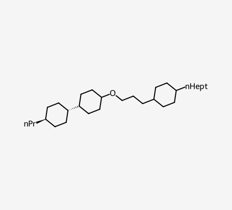 CCCCCCCC1CCC(CCCOC2CCC([C@H]3CC[C@H](CCC)CC3)CC2)CC1